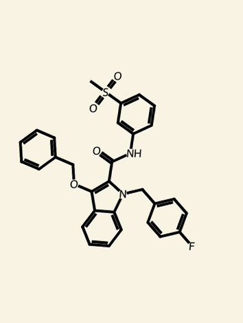 CS(=O)(=O)c1cccc(NC(=O)c2c(OCc3ccccc3)c3ccccc3n2Cc2ccc(F)cc2)c1